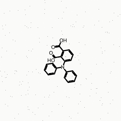 O=C(O)c1cccc(N(c2ccccc2)c2ccccc2)c1C(=O)O